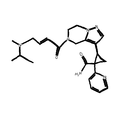 CC(C)N(C)C/C=C/C(=O)N1CCn2ncc(C3CC3(C(N)=O)c3ccccn3)c2C1